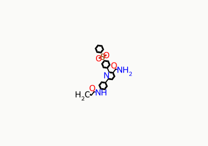 C=CC(=O)Nc1ccc(-c2ccc(C(N)=O)c(-c3ccc(S(=O)(=O)c4ccccc4)cc3)n2)cc1